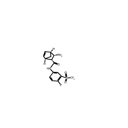 N[C@H]1[C@@H](C(=O)Nc2ccc(F)c(S(=O)(=O)C(F)(F)F)c2)[C@@H]2C=C[C@H]1C2